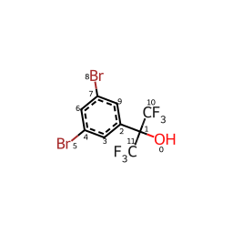 OC(c1cc(Br)cc(Br)c1)(C(F)(F)F)C(F)(F)F